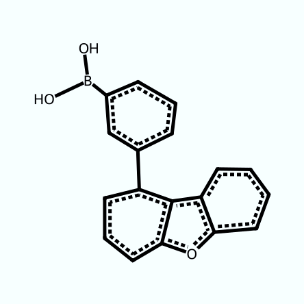 OB(O)c1cccc(-c2cccc3oc4ccccc4c23)c1